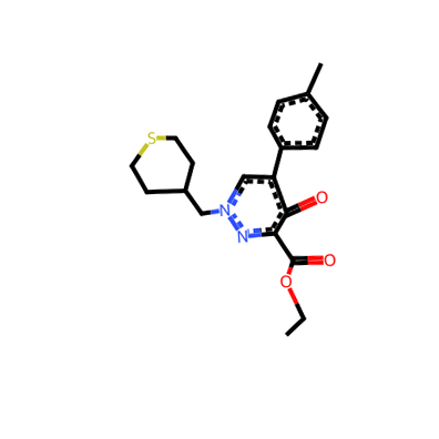 CCOC(=O)c1nn(CC2CCSCC2)cc(-c2ccc(C)cc2)c1=O